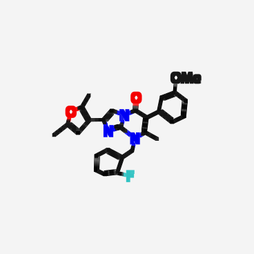 COc1cccc(-c2c(C)n(Cc3ccccc3F)c3nc(-c4cc(C)oc4C)cn3c2=O)c1